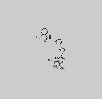 CNC(=O)[C@@H](NC(=O)c1ccc(-c2cccc(CNC(=O)C3CCCCC3C)c2)o1)C(C)C